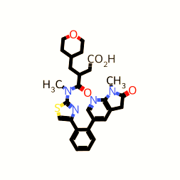 CN(C(=O)C(CC(=O)O)CC1CCOCC1)c1nc(-c2ccccc2-c2cnc3c(c2)CC(=O)N3C)cs1